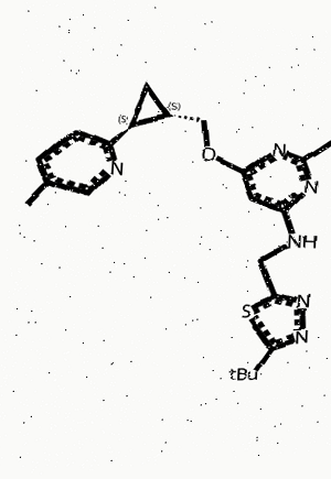 Cc1ccc([C@H]2C[C@@H]2COc2cc(NCc3nnc(C(C)(C)C)s3)nc(C)n2)nc1